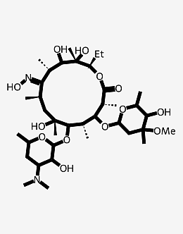 CC[C@H]1OC(=O)[C@H](C)C(OC2CC(C)(OC)C(O)C(C)O2)[C@H](C)C(OC2OC(C)CC(N(C)C)C2O)[C@](C)(O)C[C@@H](C)/C(=N\O)[C@H](C)C(O)[C@]1(C)O